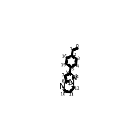 C=Cc1ccc(-c2cc3ncccn3n2)cc1